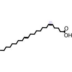 CCCCCCCCC=CCCCCCC/C=C\CCCC(=O)O